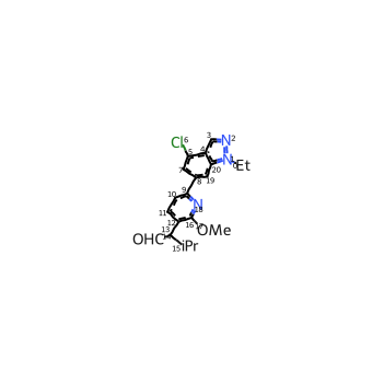 CCn1ncc2c(Cl)cc(-c3ccc(C(C=O)C(C)C)c(OC)n3)cc21